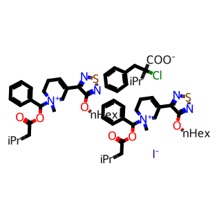 CC(C)C(Cl)(Cc1ccccc1)C(=O)[O-].CCCCCCOc1nsnc1C1=CCC[N+](C)(C(OC(=O)CC(C)C)c2ccccc2)C1.CCCCCCOc1nsnc1C1=CCC[N+](C)(C(OC(=O)CC(C)C)c2ccccc2)C1.[I-]